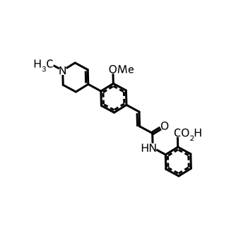 COc1cc(C=CC(=O)Nc2ccccc2C(=O)O)ccc1C1=CCN(C)CC1